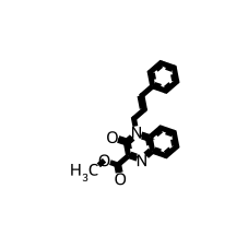 COC(=O)c1nc2ccccc2n(CC=Cc2ccccc2)c1=O